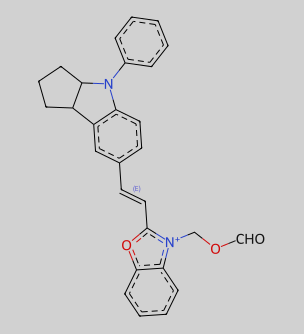 O=COC[n+]1c(/C=C/c2ccc3c(c2)C2CCCC2N3c2ccccc2)oc2ccccc21